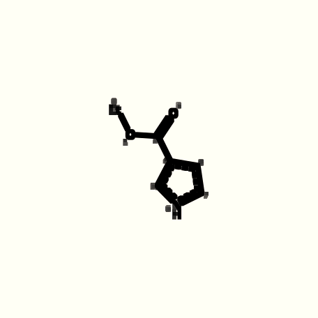 CCOC(=O)c1[c][nH]cc1